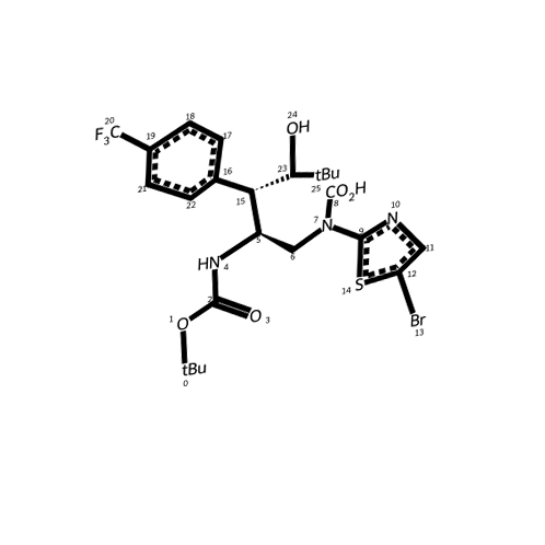 CC(C)(C)OC(=O)N[C@H](CN(C(=O)O)c1ncc(Br)s1)[C@H](c1ccc(C(F)(F)F)cc1)C(O)C(C)(C)C